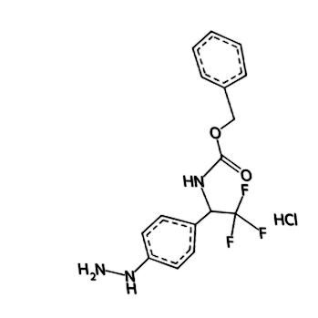 Cl.NNc1ccc(C(NC(=O)OCc2ccccc2)C(F)(F)F)cc1